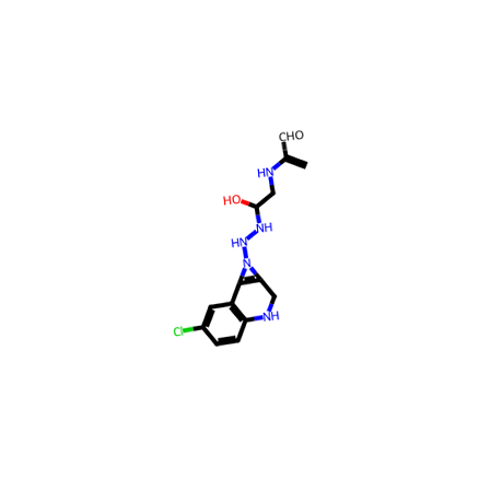 C=C(C=O)NCC(O)NNN1C2=C1c1cc(Cl)ccc1NC2